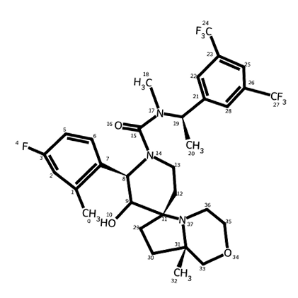 Cc1cc(F)ccc1[C@@H]1C(O)[C@@]2(CCN1C(=O)N(C)[C@H](C)c1cc(C(F)(F)F)cc(C(F)(F)F)c1)CC[C@@]1(C)COCCN12